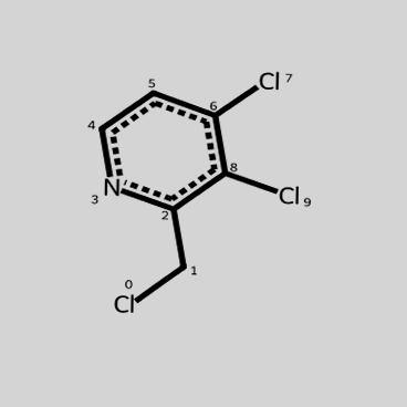 ClCc1nccc(Cl)c1Cl